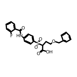 O=C(Nc1ccc(S(=O)(=O)C(CCOCc2ccccc2)C(=O)O)cc1)c1ccccc1F